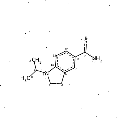 CC(C)N1CCc2cc(C(N)=S)ccc21